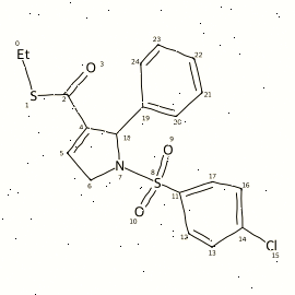 CCSC(=O)C1=CCN(S(=O)(=O)c2ccc(Cl)cc2)C1c1ccccc1